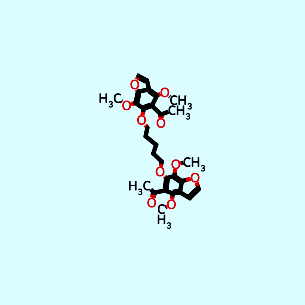 COc1c(C(C)=O)c(OCCCCCOc2c(C(C)=O)c(OC)c3ccoc3c2OC)c(OC)c2occc12